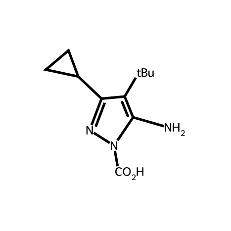 CC(C)(C)c1c(C2CC2)nn(C(=O)O)c1N